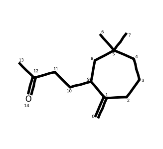 C=C1CCCC(C)(C)CC1CCC(C)=O